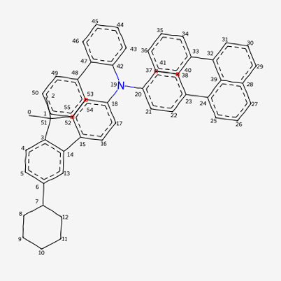 CC1(C)c2ccc(C3CCCCC3)cc2-c2ccc(N(c3ccc(-c4cccc5cccc(-c6ccccc6)c45)cc3)c3ccccc3-c3ccccc3)cc21